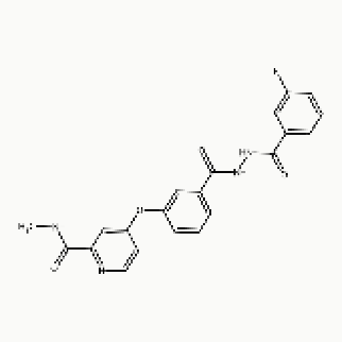 CNC(=O)c1cc(Oc2cccc(C(=O)NNC(=O)c3cccc(F)c3)c2)ccn1